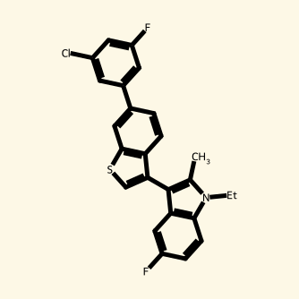 CCn1c(C)c(-c2csc3cc(-c4cc(F)cc(Cl)c4)ccc23)c2cc(F)ccc21